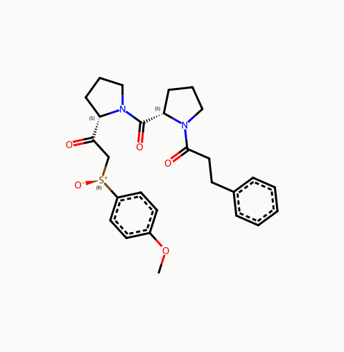 COc1ccc([S@@+]([O-])CC(=O)[C@@H]2CCCN2C(=O)[C@@H]2CCCN2C(=O)CCc2ccccc2)cc1